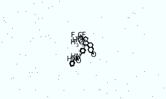 C[C@]12C[C@H](c3ccc(CNC(=O)Nc4ccccc4)cc3)C3=C4CCC(=O)C=C4CCC3C1CC[C@@]2(O)C(F)(F)C(F)(F)F